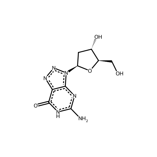 Nc1nc2c(nnn2[C@H]2C[C@H](O)[C@@H](CO)O2)c(=O)[nH]1